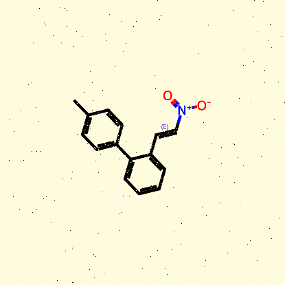 Cc1ccc(-c2ccccc2/C=C/[N+](=O)[O-])cc1